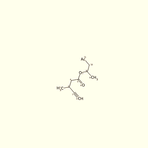 C#CC(C)CC(=O)OC(C)CC(C)=O